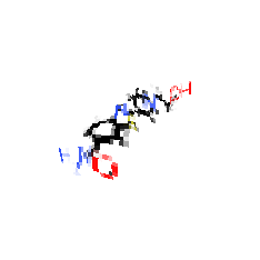 NC(=O)c1ccc2nc(C3CCN(CCO)CC3)sc2c1